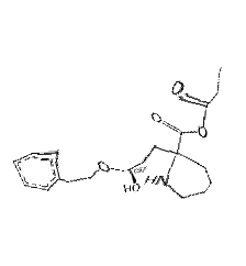 CCC(=O)OC(=O)C1(C[C@@H](O)OCc2ccccc2)CCCN1